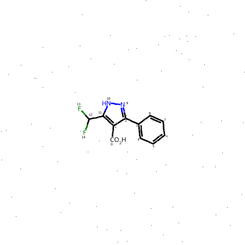 O=C(O)c1c(-c2ccccc2)n[nH]c1C(F)F